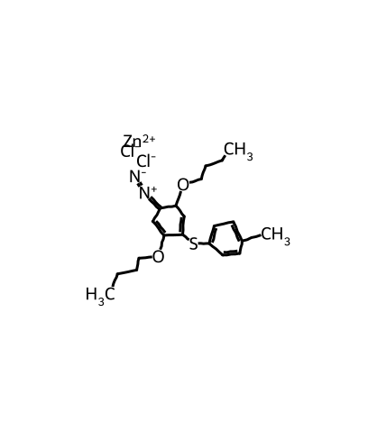 CCCCOC1=CC(=[N+]=[N-])C(OCCCC)C=C1Sc1ccc(C)cc1.[Cl-].[Cl-].[Zn+2]